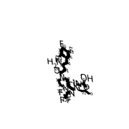 CCCN(NC(=O)O)c1nc(C(F)(F)F)n2c1CN(C(=O)C[C@H](N)Cc1cc(F)c(F)cc1F)CC2